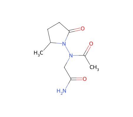 CC(=O)N(CC(N)=O)N1C(=O)CCC1C